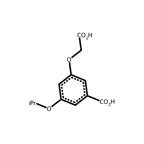 CC(C)Oc1cc(OCC(=O)O)cc(C(=O)O)c1